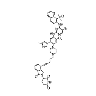 COc1cc(N2CCN(CCCC#Cc3cccc4c3CN(C3CCC(=O)NC3=O)C4=O)CC2)c(-c2cnn(C)c2)cc1Nc1ncc(Br)c(Nc2ccc3nccnc3c2P(C)(C)=O)n1